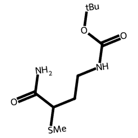 CSC(CCNC(=O)OC(C)(C)C)C(N)=O